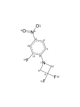 O=[N+]([O-])c1ccc(N2CC(F)(F)C2)c(F)c1